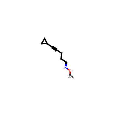 CON=CCCC#CC1[CH]C1